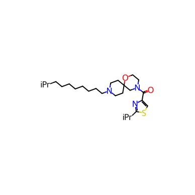 CC(C)CCCCCCCCN1CCC2(CC1)CN(C(=O)c1csc(C(C)C)n1)CCO2